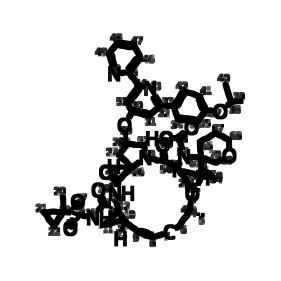 CC[C@@H]1O[C@H](C)CCC=C[C@@H]2C[C@@]2(C(=O)NS(=O)(=O)C2(C)CC2)NC(=O)[C@@H]2C[C@@H](Oc3cc(-c4ccc(OC(C)C)cc4)nc(-c4ccccn4)c3)CN2C(=O)[C@H]1N(C(=O)O)C1(C(F)(F)F)CCCOC1